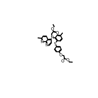 CCOC(=O)COc1ccc(Sc2ccc(C)cc2N(CC(=O)OCC)c2ccnc3nc(C)ccc23)cc1